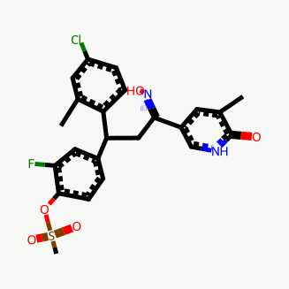 Cc1cc(Cl)ccc1C(C/C(=N\O)c1c[nH]c(=O)c(C)c1)c1ccc(OS(C)(=O)=O)c(F)c1